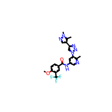 COc1ccc(C(=O)Nc2cnc(C)c(-n3cc(-c4cnn(C)c4C)nn3)c2)cc1C(F)(F)F